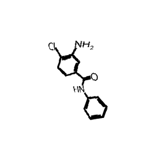 Nc1cc(C(=O)Nc2ccccc2)ccc1Cl